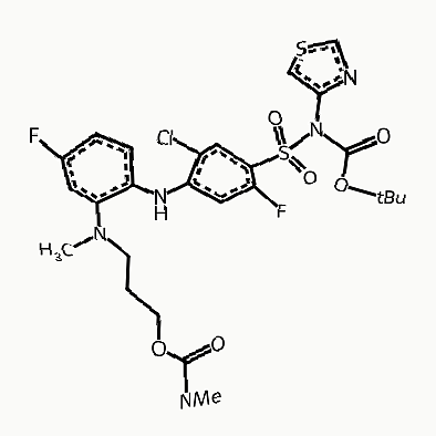 CNC(=O)OCCCN(C)c1cc(F)ccc1Nc1cc(F)c(S(=O)(=O)N(C(=O)OC(C)(C)C)c2cscn2)cc1Cl